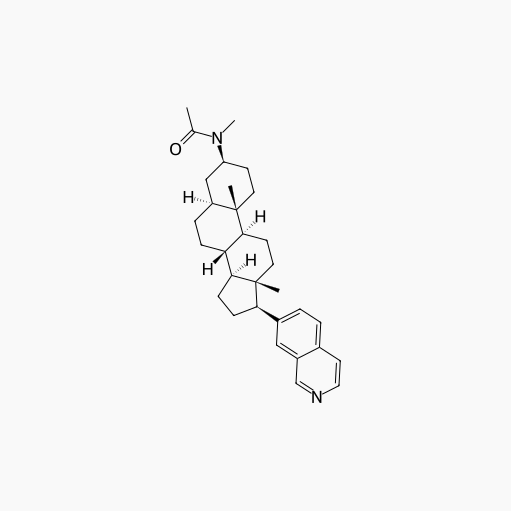 CC(=O)N(C)[C@H]1CC[C@@]2(C)[C@@H](CC[C@@H]3[C@@H]2CC[C@]2(C)[C@@H](c4ccc5ccncc5c4)CC[C@@H]32)C1